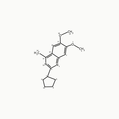 COc1cc2nc(C3CCCC3)nc(C)c2cc1OC